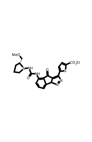 CCOC(=O)c1ccc(C2=C3C(=O)c4c(NC(=O)NN5CCC[C@@H]5COC)cccc4C3N=N2)s1